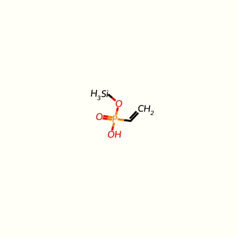 C=CP(=O)(O)O[SiH3]